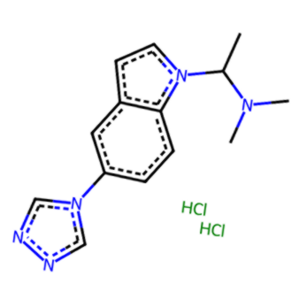 CC(N(C)C)n1ccc2cc(-n3cnnc3)ccc21.Cl.Cl